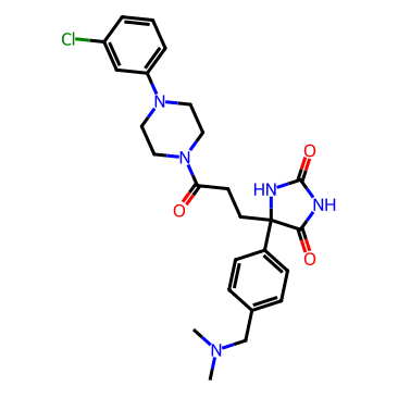 CN(C)Cc1ccc(C2(CCC(=O)N3CCN(c4cccc(Cl)c4)CC3)NC(=O)NC2=O)cc1